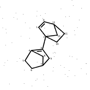 C1=CC2(C3=C4CCC(C4)C3)CCC1C2